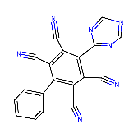 N#Cc1c(C#N)c(-c2ncncn2)c(C#N)c(C#N)c1-c1ccccc1